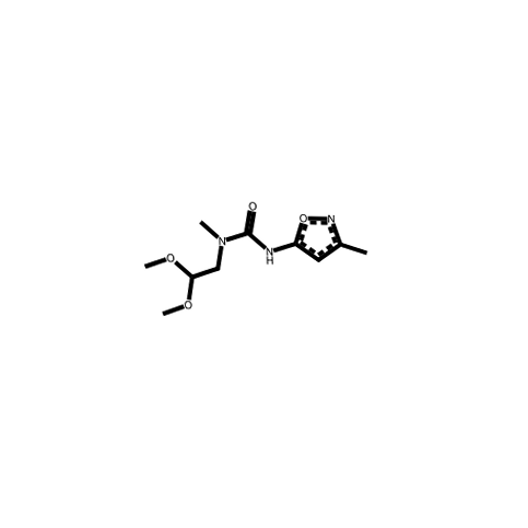 COC(CN(C)C(=O)Nc1cc(C)no1)OC